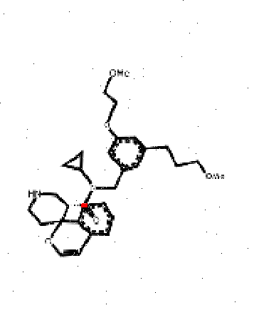 COCCCc1cc(CN(C(=O)[C@H]2CNCC[C@@]23OC=Cc2ccccc23)C2CC2)cc(OCCOC)c1